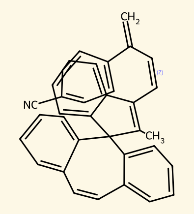 C=C(/C=C\C1=C(C)C2(c3ccccc3C=Cc3ccccc32)c2ccccc21)c1ccc(C#N)cc1